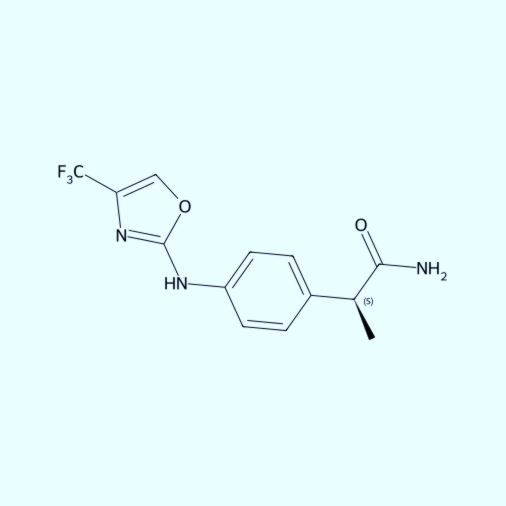 C[C@H](C(N)=O)c1ccc(Nc2nc(C(F)(F)F)co2)cc1